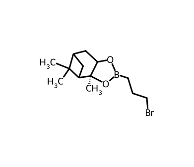 CC1(C)C2CC3OB(CCCBr)O[C@@]3(C)C1C2